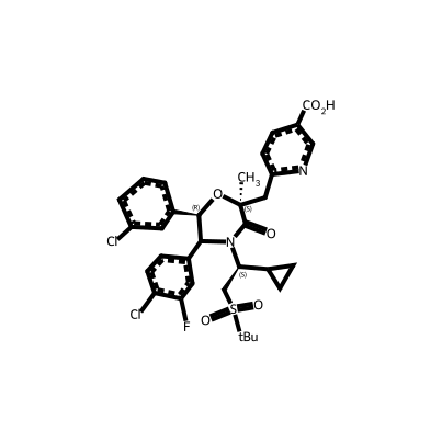 CC(C)(C)S(=O)(=O)C[C@H](C1CC1)N1C(=O)[C@](C)(Cc2ccc(C(=O)O)cn2)O[C@H](c2cccc(Cl)c2)C1c1ccc(Cl)c(F)c1